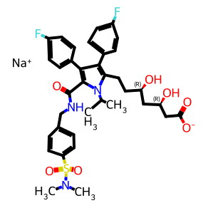 CC(C)n1c(CC[C@@H](O)C[C@@H](O)CC(=O)[O-])c(-c2ccc(F)cc2)c(-c2ccc(F)cc2)c1C(=O)NCc1ccc(S(=O)(=O)N(C)C)cc1.[Na+]